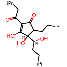 CC(C)CCC1C(=O)C(C(=O)CC(C)C)=C(O)[C@@]1(O)[C@H](O)CCC(C)C